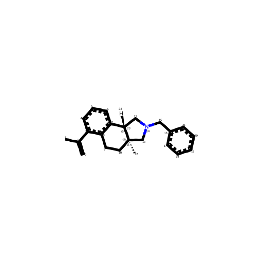 C=C(C)c1cccc2c1CC[C@]1(C)CN(Cc3ccccc3)C[C@@H]21